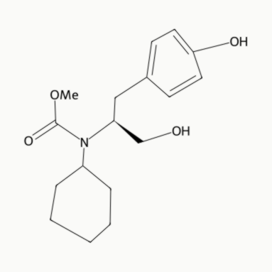 COC(=O)N(C1CCCCC1)[C@H](CO)Cc1ccc(O)cc1